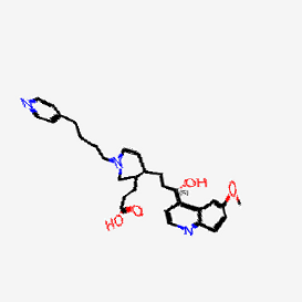 COc1ccc2nccc([C@@H](O)CCC3CCN(CCCCc4ccncc4)CC3CCC(=O)O)c2c1